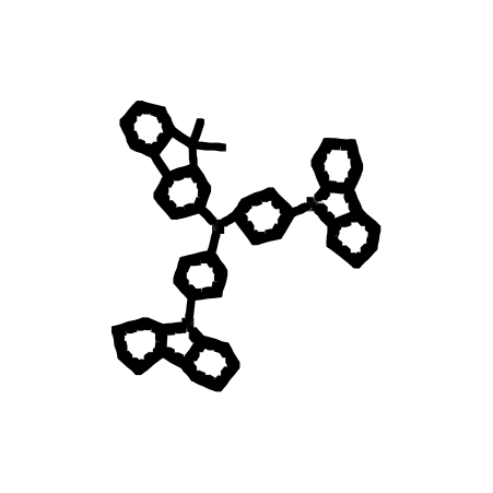 CC1(C)c2ccccc2-c2ccc(N(c3ccc(-n4c5ccccc5c5ccccc54)cc3)c3ccc(-n4c5ccccc5c5ccccc54)cc3)cc21